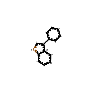 [c]1ccccc1-c1csc2ccccc12